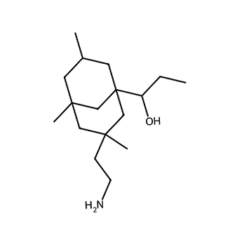 CCC(O)C12CC(C)CC(C)(CC(C)(CCN)C1)C2